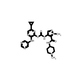 CN1CCC(NC(=O)c2c(NC(=O)Oc3nc(C4CC4)cnc3Nc3cncnc3)cnn2C)CC1